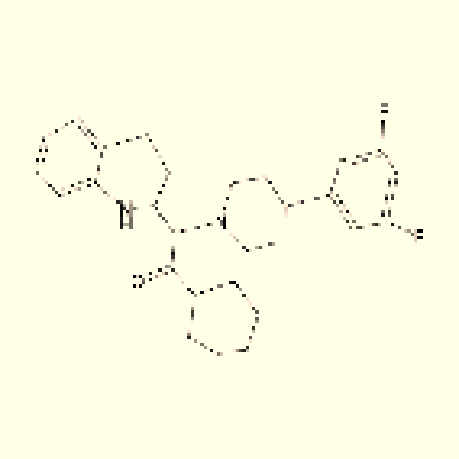 O=C(C1CCCCC1)C(C1CCc2ccccc2N1)N1CCC(c2cc(F)cc(F)c2)CC1